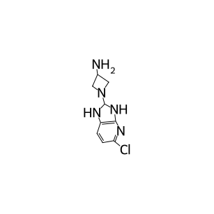 NC1CN(C2Nc3ccc(Cl)nc3N2)C1